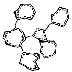 c1ccc(-c2cncc(-c3ccccc3)c2-c2oc(-c3ccccc3)c3ccccc23)cc1